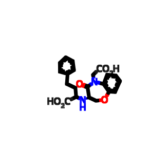 O=C(O)CN1C(=O)[C@@H](NC(CCc2ccccc2)C(=O)O)COc2ccccc21